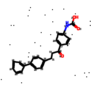 O=C(O)Nc1ccc(C(=O)CCc2ccc(-c3ccccc3)cc2)cc1